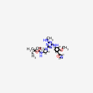 CNc1nc(Nc2ccc(-c3cnco3)c(OC)c2)nc(N2CC[C@@H](NC(=O)OC(C)(C)C)C2)n1